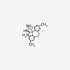 Cc1ccc2c(c1)CCc1cc(C)ccc1C2(CCN)C(=N)N